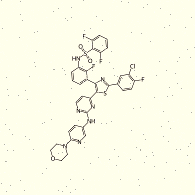 O=S(=O)(Nc1cccc(-c2nc(-c3ccc(F)c(Cl)c3)sc2-c2ccnc(Nc3ccc(N4CCOCC4)nc3)n2)c1F)c1c(F)cccc1F